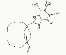 C=CC12CCCCCCCCCC(c3nc4c([nH]3)c(=O)n(CCC)c(=O)n4CCC)(CC1)CO2